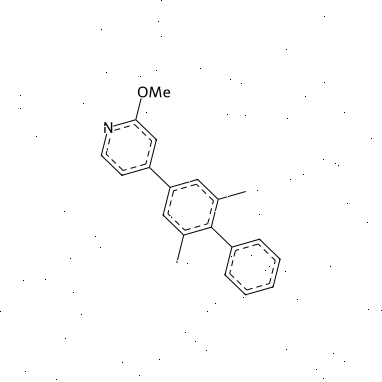 COc1cc(-c2cc(C)c(-c3ccccc3)c(C)c2)ccn1